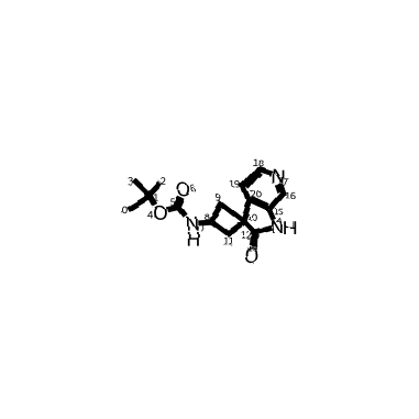 CC(C)(C)OC(=O)NC1CC2(C1)C(=O)Nc1cnccc12